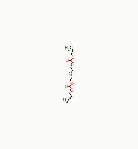 C=CCOC(=O)OCCOCCOC(=O)OCCC